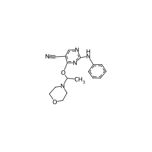 CC(Oc1nc(Nc2ccccc2)ncc1C#N)N1CCOCC1